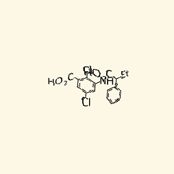 CCC(C(=O)O)c1ccccc1.Nc1cc(Cl)cc(C(=O)O)c1Cl